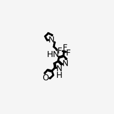 FC(F)(F)c1cnc2[nH]c(C3=CCOCC3)cc2c1NCCCN1CCCC1